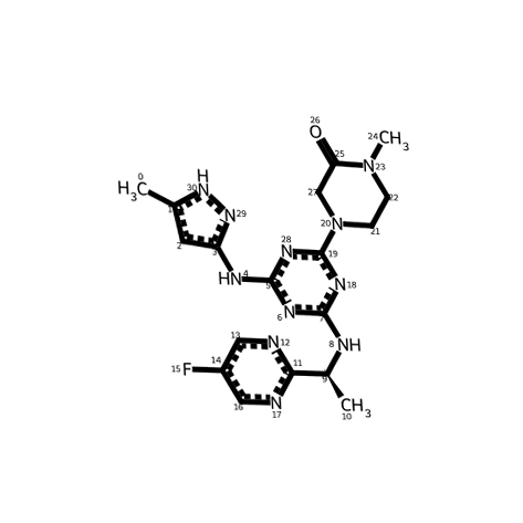 Cc1cc(Nc2nc(N[C@@H](C)c3ncc(F)cn3)nc(N3CCN(C)C(=O)C3)n2)n[nH]1